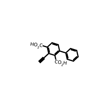 C#Cc1c(C(=O)O)ccc(-c2ccccc2)c1C(=O)O